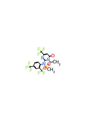 CCn1c(N(c2ccc(C(F)(F)F)cc2C(F)(F)F)S(C)(=O)=O)nc(C(F)(F)F)cc1=O